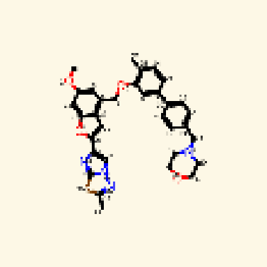 COc1cc(COc2cc(-c3ccc(CN4CCOCC4)cc3)ccc2C)c2cc(-c3cn4nc(C)sc4n3)oc2c1